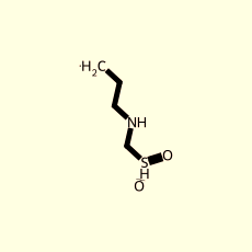 [CH2]CCNC[SH](=O)=O